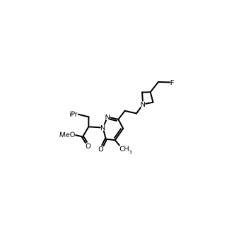 COC(=O)C(CC(C)C)n1nc(CCN2CC(CF)C2)cc(C)c1=O